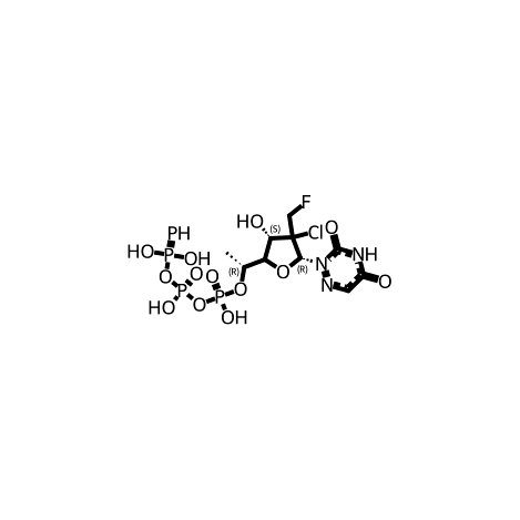 C[C@@H](OP(=O)(O)OP(=O)(O)OP(O)(O)=P)C1O[C@@H](n2ncc(=O)[nH]c2=O)C(Cl)(CF)[C@H]1O